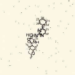 Cc1cc(OC(C)C)cc(C)c1C(=O)N[C@@H](CNc1nccc(-c2ccccc2)n1)C(=O)O